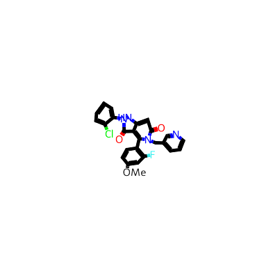 COc1ccc(-c2c3c(=O)n(-c4ccccc4Cl)[nH]c3cc(=O)n2Cc2cccnc2)c(F)c1